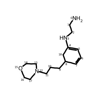 NCCNC1=CC=CC(CCCN2CCOCC2)C1